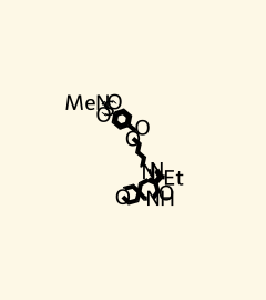 CCc1nn(CCCCOC(=O)c2ccc(S(=O)(=O)NC)cc2)c2c1C(=O)NCC1(CCOCC1)C2